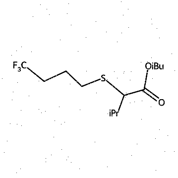 CC(C)COC(=O)C(SCCCC(F)(F)F)C(C)C